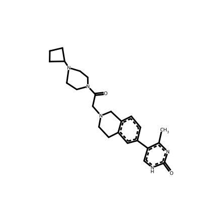 Cc1nc(=O)[nH]cc1-c1ccc2c(c1)CCN(CC(=O)N1CCN(C3CCC3)CC1)C2